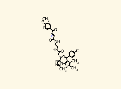 COc1ccc(C(=O)/C=C/C(=O)NCCNC(=O)C[C@@H]2N=C(c3ccc(Cl)cc3)c3c(sc(C)c3C)-n3c(C)nnc32)cn1